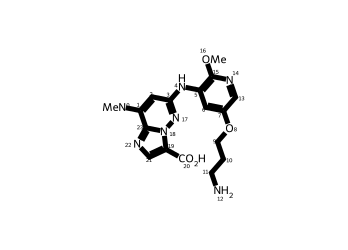 CNc1cc(Nc2cc(OCCCN)cnc2OC)nn2c(C(=O)O)cnc12